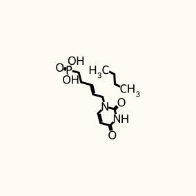 CCCC.O=c1ccn(C/C=C/CCP(=O)(O)O)c(=O)[nH]1